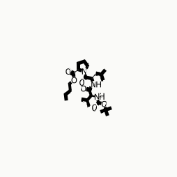 CCCCOC(=O)[C@@H]1CCCN1C(=O)[C@H](CC(C)C)NC(=O)[C@@H](NC(=O)OC(C)(C)C)C(C)C